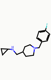 Fc1ccc(CN2CCC(CNC3CC3)CC2)cc1